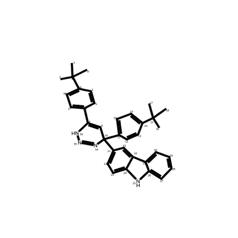 CC(C)(C)c1ccc(C2=CC(c3ccc(C(C)(C)C)cc3)(c3ccc4[nH]c5ccccc5c4c3)N=NN2)cc1